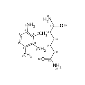 Cc1ccc(N)c(C)c1N.NC(=O)CCCCC(N)=O